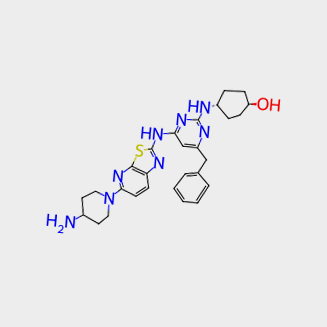 NC1CCN(c2ccc3nc(Nc4cc(Cc5ccccc5)nc(N[C@H]5CC[C@H](O)CC5)n4)sc3n2)CC1